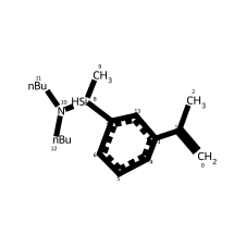 C=C(C)c1cccc([SiH](C)N(CCCC)CCCC)c1